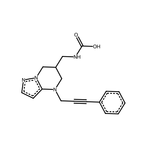 O=C(O)NCC1CN(CC#Cc2ccccc2)c2ccnn2C1